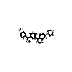 COc1ccc(C(O)c2cc(-c3ncnc4cc(N5CCOCC5)ccc34)c(F)cc2O)nn1